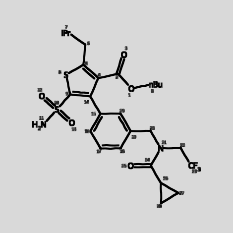 CCCCOC(=O)c1c(CC(C)C)sc(S(N)(=O)=O)c1-c1cccc(CN(CC(F)(F)F)C(=O)C2CC2)c1